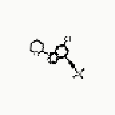 C[Si](C)(C)C#Cc1cc(Cl)cc2c1cnn2C1CCCCO1